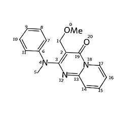 COCc1c(N(C)c2ccccc2)nc2ccccn2c1=O